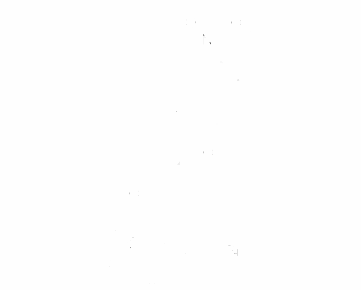 COc1c(COc2ccc([N+](=O)[O-])cc2)cc(Br)cc1C(C)(C)C